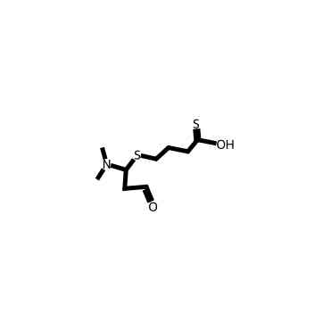 CN(C)C(CC=O)SCCCC(O)=S